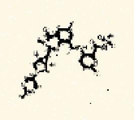 Cc1cc([C@@H](C)Nc2ccc(Cl)nc2C(=O)NS(C)(=O)=O)c2nc(C3[C@H]4CN(c5cnc(C)nc5)C[C@@H]34)n(C)c(=O)c2c1